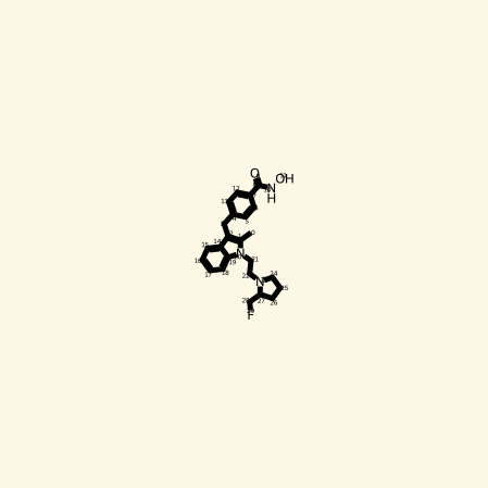 Cc1c(Cc2ccc(C(=O)NO)cc2)c2ccccc2n1CCN1CCCC1CF